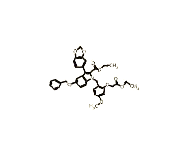 CCOC(=O)COc1cc(OC)ccc1Cn1c(C(=O)OCC)c(-c2ccc3c(c2)OCO3)c2cc(OCc3ccccc3)ccc21